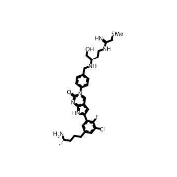 CSCC(=N)NCC[C@H](CO)NCc1ccc(-n2cc3cc(-c4cc(CCC[C@H](C)N)cc(Cl)c4F)[nH]c3nc2=O)cc1